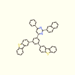 c1ccc(-c2cc(-c3cc(-c4ccc5sc6ccccc6c5c4)cc(-c4ccc5sc6ccccc6c5c4)c3)nc(-c3ccc4ccccc4c3)n2)cc1